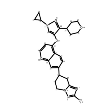 FC(F)(F)c1nc2n(n1)CCC(c1ccc3c(Oc4cn(C5CC5)nc4C4CCOCC4)ccnc3c1)C2